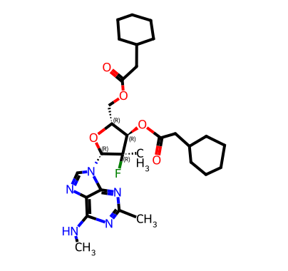 CNc1nc(C)nc2c1ncn2[C@@H]1O[C@H](COC(=O)CC2CCCCC2)[C@@H](OC(=O)CC2CCCCC2)[C@@]1(C)F